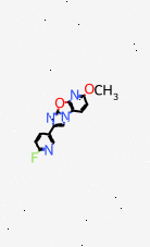 COc1ccc2c(n1)oc1nc(-c3ccc(F)nc3)cn12